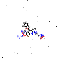 CCS(=O)(=O)NCCCNc1nc2sc(OC(N)=O)c(N)c2c(-c2cc3ccccc3o2)c1C#N